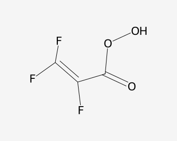 O=C(OO)C(F)=C(F)F